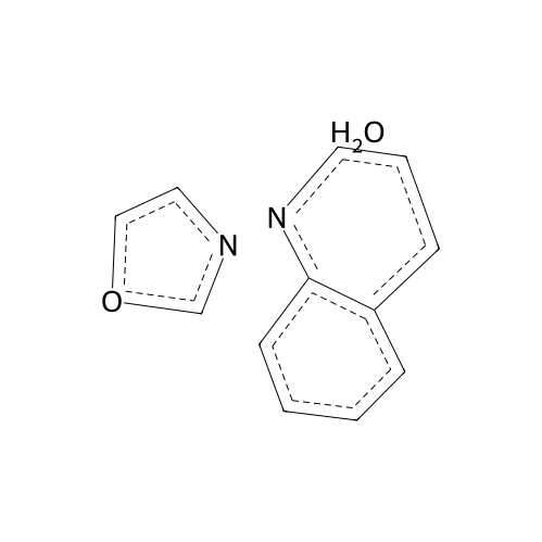 O.c1ccc2ncccc2c1.c1cocn1